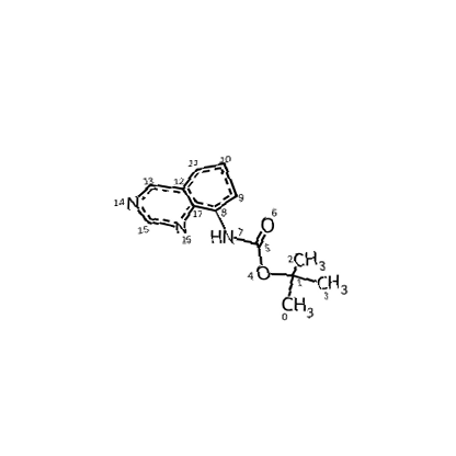 CC(C)(C)OC(=O)Nc1cccc2cncnc12